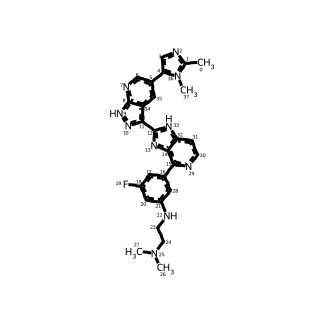 Cc1ncc(-c2cnc3[nH]nc(-c4nc5c(-c6cc(F)cc(NCCN(C)C)c6)nccc5[nH]4)c3c2)n1C